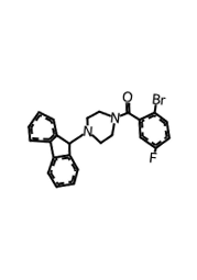 O=C(c1cc(F)ccc1Br)N1CCN(C2c3ccccc3-c3ccccc32)CC1